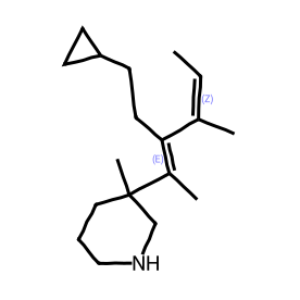 C/C=C(C)\C(CCC1CC1)=C(/C)C1(C)CCCNC1